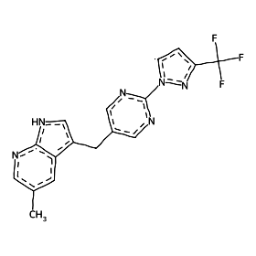 Cc1cnc2[nH]cc(Cc3cnc(-n4[c]cc(C(F)(F)F)n4)nc3)c2c1